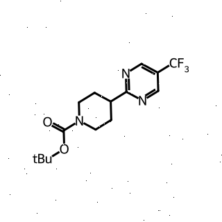 CC(C)(C)OC(=O)N1CCC(c2ncc(C(F)(F)F)cn2)CC1